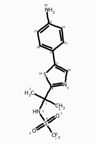 CC(C)(NS(=O)(=O)C(F)(F)F)c1ncc(-c2ccc(N)cc2)s1